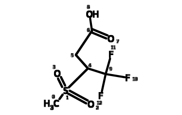 CS(=O)(=O)C(CC(=O)O)C(F)(F)F